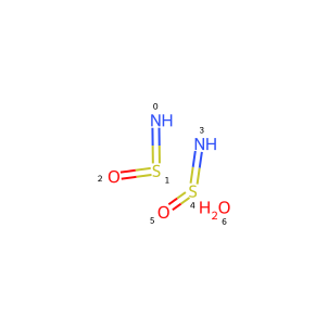 N=S=O.N=S=O.O